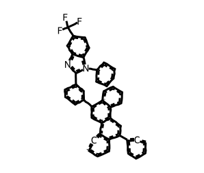 FC(F)(F)c1ccc2c(c1)nc(-c1cccc(-c3cc4c5ccccc5c(-c5ccccc5)cc4c4ccccc34)c1)n2-c1ccccc1